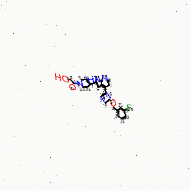 O=C(CO)N1CC=C(c2cc3c(-c4cncc(OCc5cccc(F)c5)n4)ccnc3[nH]2)CC1